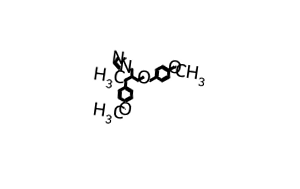 COc1ccc(COCC(Cn2ccnc2)C(C)c2ccc(OC)cc2)cc1